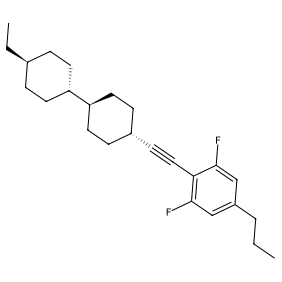 CCCc1cc(F)c(C#C[C@H]2CC[C@H]([C@H]3CC[C@H](CC)CC3)CC2)c(F)c1